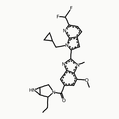 CCC1C2NC2CN1C(=O)c1cc(OC)c2c(c1)nc(-c1cc3ccc(C(F)F)nc3n1CC1CC1)n2C